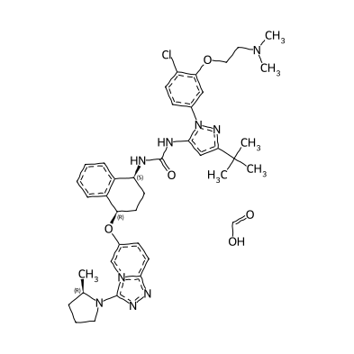 C[C@@H]1CCCN1c1nnc2ccc(O[C@@H]3CC[C@H](NC(=O)Nc4cc(C(C)(C)C)nn4-c4ccc(Cl)c(OCCN(C)C)c4)c4ccccc43)cn12.O=CO